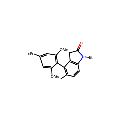 CCCc1cc(OC)c(-c2c(C)ccc3c2CC(=O)N3CC)c(OC)c1